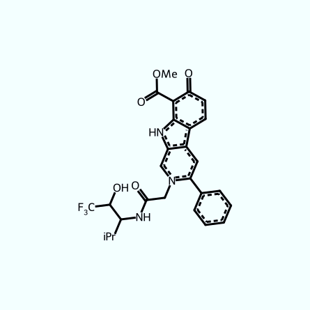 COC(=O)c1c(=O)ccc2c1[nH]c1cn(CC(=O)NC(C(C)C)C(O)C(F)(F)F)c(-c3ccccc3)cc12